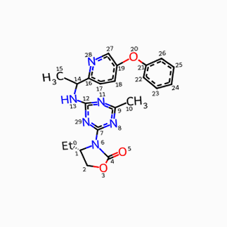 CC[C@H]1COC(=O)N1c1nc(C)nc(NC(C)c2ccc(Oc3ccccc3)cn2)n1